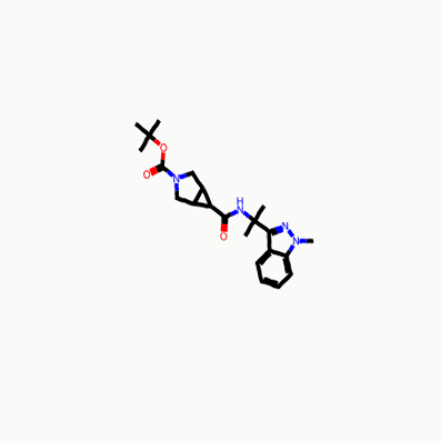 Cn1nc(C(C)(C)NC(=O)C2C3CN(C(=O)OC(C)(C)C)CC32)c2ccccc21